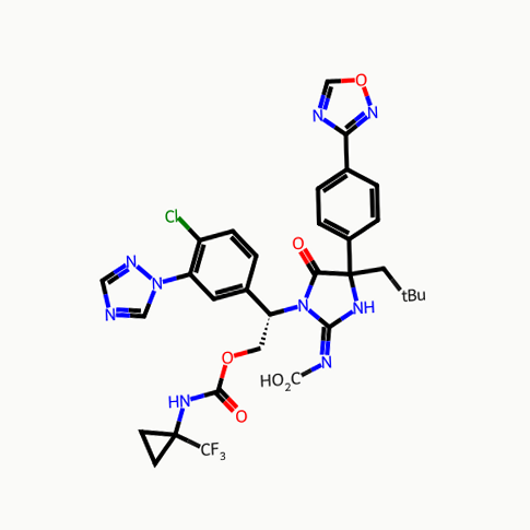 CC(C)(C)CC1(c2ccc(-c3ncon3)cc2)NC(=NC(=O)O)N([C@H](COC(=O)NC2(C(F)(F)F)CC2)c2ccc(Cl)c(-n3cncn3)c2)C1=O